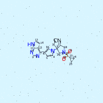 N#CCC1(n2ccc(-c3ncnc4[nH]ccc34)c2)CCN(S(=O)(=O)C2CC2)C1